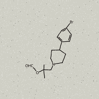 CC(C)(CN1CCC(c2ccc(Br)cc2)CC1)OC=O